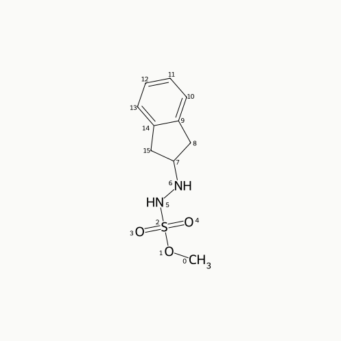 COS(=O)(=O)NNC1Cc2ccccc2C1